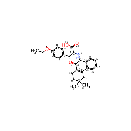 CCOc1ccc(C[C@H](/N=C2\C(=O)C3=C(CC(C)(C)CC3)c3ccccc32)C(=O)O)cc1